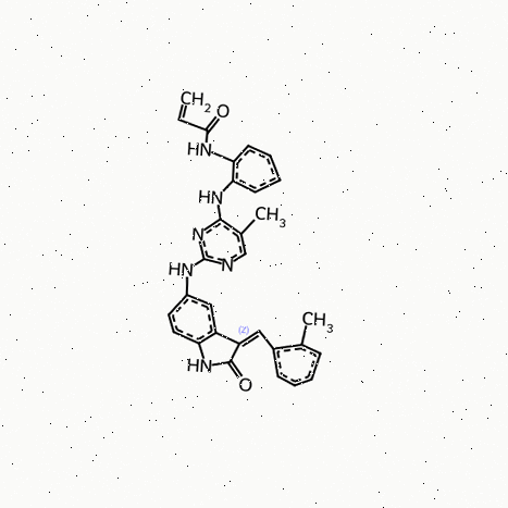 C=CC(=O)Nc1ccccc1Nc1nc(Nc2ccc3c(c2)/C(=C/c2ccccc2C)C(=O)N3)ncc1C